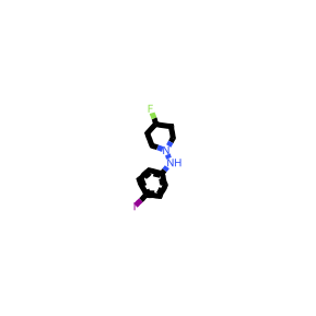 FC1CCN(Nc2ccc(I)cc2)CC1